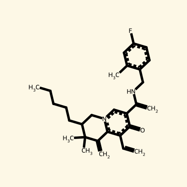 C=Cc1c2n(cc(C(=C)NCc3ccc(F)cc3C)c1=O)CC(CCCCC)C(C)(C)C2=C